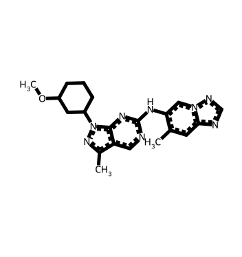 COC1CCCC(n2nc(C)c3cnc(Nc4cn5ncnc5cc4C)nc32)C1